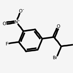 CC(Br)C(=O)c1ccc(F)c([N+](=O)[O-])c1